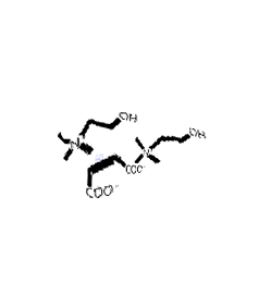 C[N+](C)(C)CCO.C[N+](C)(C)CCO.O=C([O-])/C=C\C(=O)[O-]